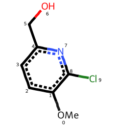 COc1ccc(CO)nc1Cl